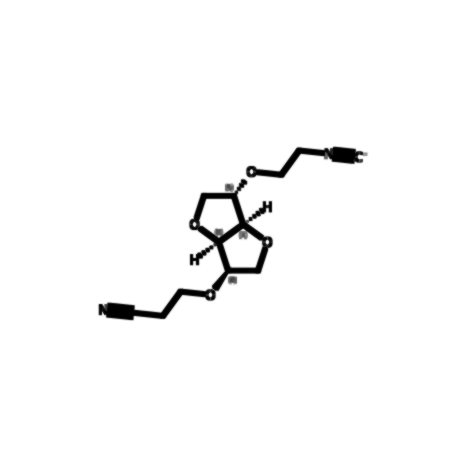 [C-]#[N+]CCO[C@H]1CO[C@H]2[C@@H]1OC[C@H]2OCCC#N